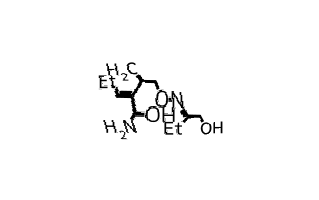 C=C(CO/N=C(\CC)CO)/C(=C\CC)C(N)O